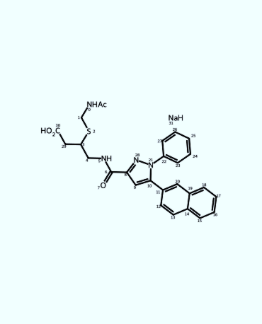 CC(=O)NCSC(CNC(=O)c1cc(-c2ccc3ccccc3c2)n(-c2ccccc2)n1)CC(=O)O.[NaH]